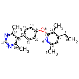 C=Cc1cc(C)nc(Oc2ccc(-c3c(C)ncnc3C)cc2)c1C